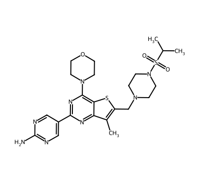 Cc1c(CN2CCN(S(=O)(=O)C(C)C)CC2)sc2c(N3CCOCC3)nc(-c3cnc(N)nc3)nc12